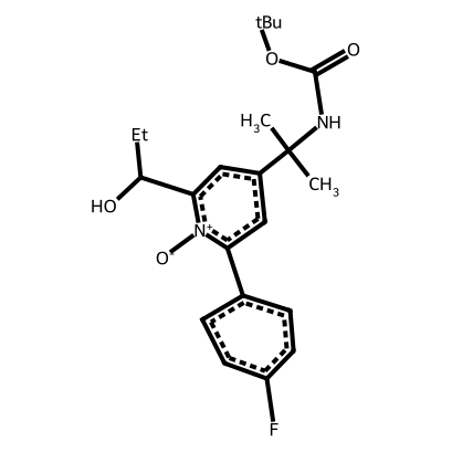 CCC(O)c1cc(C(C)(C)NC(=O)OC(C)(C)C)cc(-c2ccc(F)cc2)[n+]1[O-]